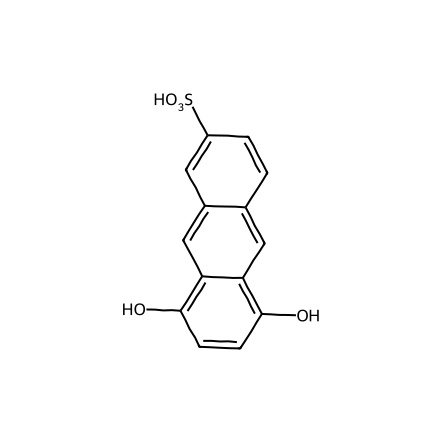 O=S(=O)(O)c1ccc2cc3c(O)ccc(O)c3cc2c1